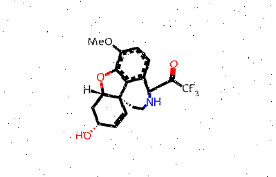 COc1ccc2c3c1O[C@H]1C[C@@H](O)C=C[C@]31CCNC2C(=O)C(F)(F)F